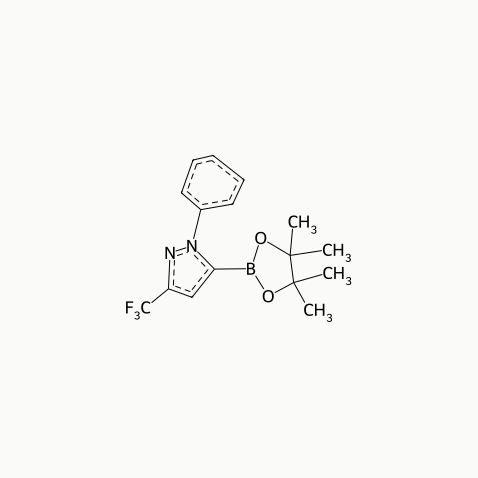 CC1(C)OB(c2cc(C(F)(F)F)nn2-c2ccccc2)OC1(C)C